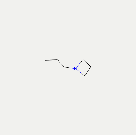 C=CCN1CCC1